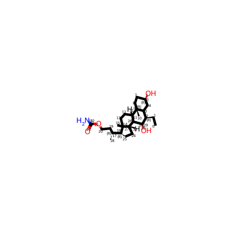 CC[C@@H]1C2C[C@H](O)CC[C@@]2(C)[C@H]2CCC3(C)[C@@H]([C@H](C)CCOC(N)=O)CC[C@H]3C2[C@@H]1O